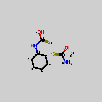 NC(O)=S.OC(=S)NC1CCCCC1.[Te]